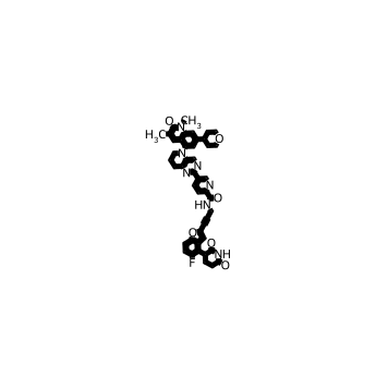 Cc1cc2c(N3CCCc4nc(-c5ccc(C(=O)NCC#Cc6cc7c(C8CCC(=O)NC8=O)c(F)ccc7o6)nc5)ncc43)cc(C3CCOCC3)cc2n(C)c1=O